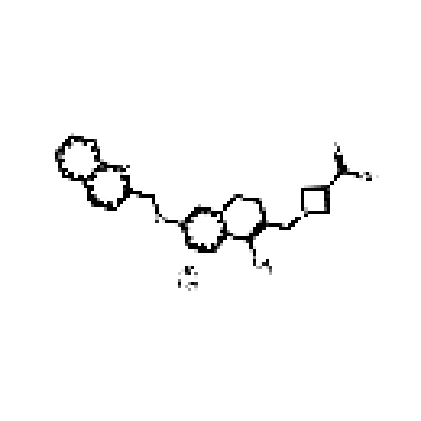 CC1=C(CN2CC(C(=O)O)C2)CCc2cc(OCc3ccc4ccccc4n3)ccc21.Cl.Cl